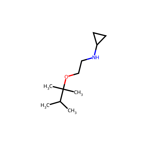 CC(C)C(C)(C)OCCNC1CC1